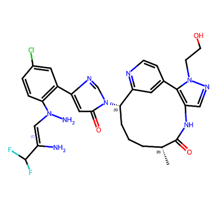 C[C@@H]1CCC[C@H](n2cnc(-c3cc(Cl)ccc3N(N)/C=C(\N)C(F)F)cc2=O)c2cc(ccn2)-c2c(cnn2CCO)NC1=O